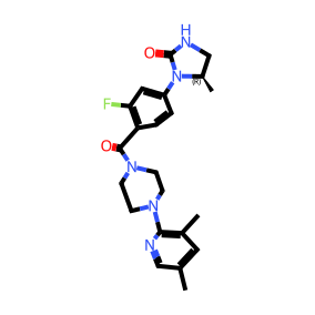 Cc1cnc(N2CCN(C(=O)c3ccc(N4C(=O)NC[C@H]4C)cc3F)CC2)c(C)c1